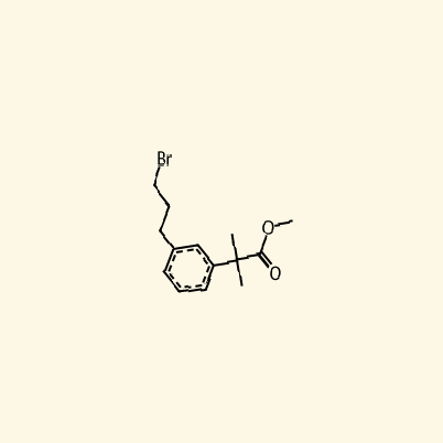 COC(=O)C(C)(C)c1cccc(CCCBr)c1